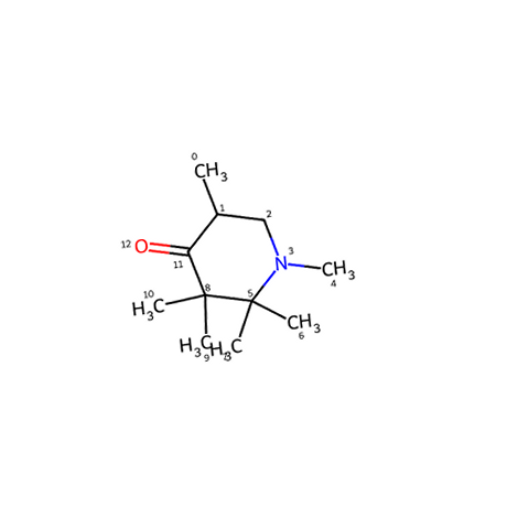 CC1CN(C)C(C)(C)C(C)(C)C1=O